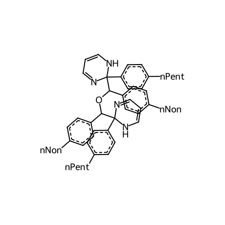 CCCCCCCCCc1ccc(C(OC(c2ccc(CCCCCCCCC)cc2)C2(c3ccc(CCCCC)cc3)N=CC=CN2)C2(c3ccc(CCCCC)cc3)N=CC=CN2)cc1